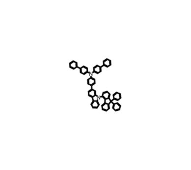 c1ccc(-c2ccc(N(c3ccc(-c4ccccc4)cc3)c3ccc(-c4ccc5c6ccccc6n(-c6cccc7c6-c6ccccc6C7(c6ccccc6)c6ccccc6)c5c4)cc3)cc2)cc1